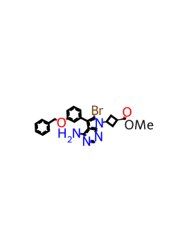 COC(=O)[C@H]1C[C@@H](n2c(Br)c(-c3cccc(OCc4ccccc4)c3)c3c(N)ncnc32)C1